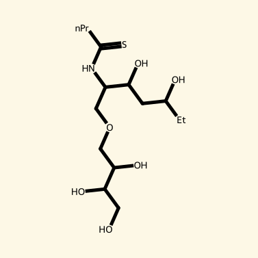 CCCC(=S)NC(COCC(O)C(O)CO)C(O)CC(O)CC